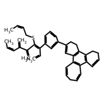 C=C/C(=C(/SC/C=C\C)C(=C)C(=C)/C=C\C)c1cccc(C2=Cc3c4c(c5c(c3CC2)CCC=C5)C=CCC=C4)c1